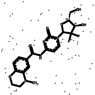 CN1CCOc2ccc(C(=O)Nc3ccn(C4O[C@H](CO)[C@@H](O)C4(F)F)c(=O)n3)cc21